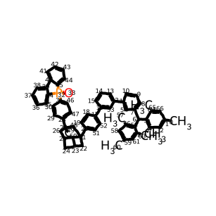 Cc1cc(C)c(C(c2cccc(-c3cccc(-c4ccc(C56CC7CC8CC(c9ccc(P%10(=O)c%11ccccc%11-c%11ccccc%11%10)cc9)(C5)CC876)cc4)c3)c2)c2c(C)cc(C)cc2C)c(C)c1